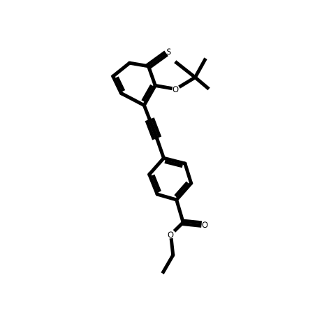 CCOC(=O)c1ccc(C#CC2=C(OC(C)(C)C)C(=S)CC=C2)cc1